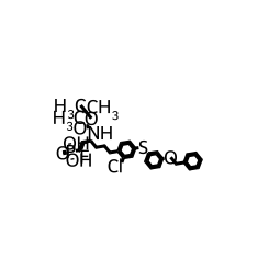 CC(C)(C)OC(=O)NC(C=C(F)P(=O)(O)O)CCCc1ccc(Sc2cccc(OCc3ccccc3)c2)cc1Cl